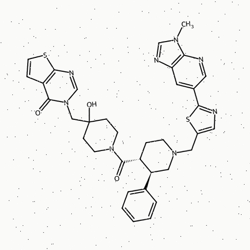 Cn1cnc2cc(-c3ncc(CN4CC[C@@H](C(=O)N5CCC(O)(Cn6cnc7sccc7c6=O)CC5)[C@H](c5ccccc5)C4)s3)cnc21